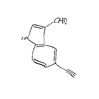 C#Cc1ccc2[nH]cc(C=O)c2c1